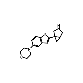 c1cc2sc(C34CNCC3C4)cc2cc1N1CCOCC1